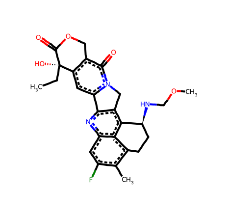 CC[C@@]1(O)C(=O)OCc2c1cc1n(c2=O)Cc2c-1nc1cc(F)c(C)c3c1c2[C@@H](NCOC)CC3